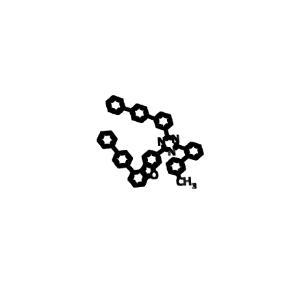 Cc1cccc(-c2ccccc2-c2nc(-c3cccc(-c4ccc(-c5ccccc5)cc4)c3)nc(-c3ccc4c(c3)oc3cccc(-c5ccc(-c6ccccc6)cc5)c34)n2)c1